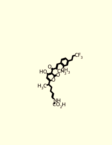 CC(=Cc1ccc(CCC(F)(F)F)cc1C)C(=O)c1c(O)cc(C(C)CCC=CNC(=O)O)oc1=O